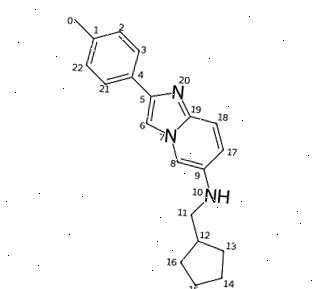 Cc1ccc(-c2cn3cc(NCC4CCCC4)ccc3n2)cc1